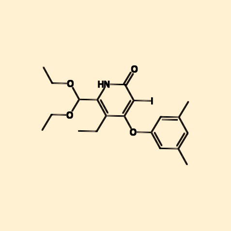 CCOC(OCC)c1[nH]c(=O)c(I)c(Oc2cc(C)cc(C)c2)c1CC